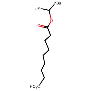 CCCCC(CCC)OC(=O)CCCCCCCC(=O)O